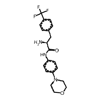 N[C@@H](Cc1ccc(C(F)(F)F)cc1)C(=O)Nc1ccc(N2CCOCC2)cc1